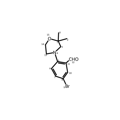 CC1(C)CN(c2ccc(Br)cc2C=O)CCO1